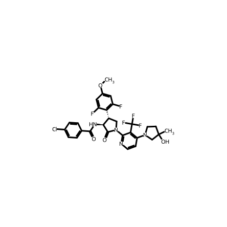 COc1cc(F)c([C@@H]2CN(c3nccc(N4CCC(C)(O)C4)c3C(F)(F)F)C(=O)[C@H]2NC(=O)c2ccc(Cl)cc2)c(F)c1